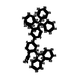 N#Cc1ccc(-c2ccc([Si](c3ccccc3)(c3ccccc3)c3ccccc3)c(C#N)c2)cc1-n1c2ccccc2c2ccccc21